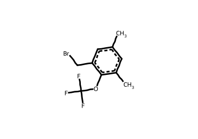 Cc1cc(C)c(OC(F)(F)F)c(CBr)c1